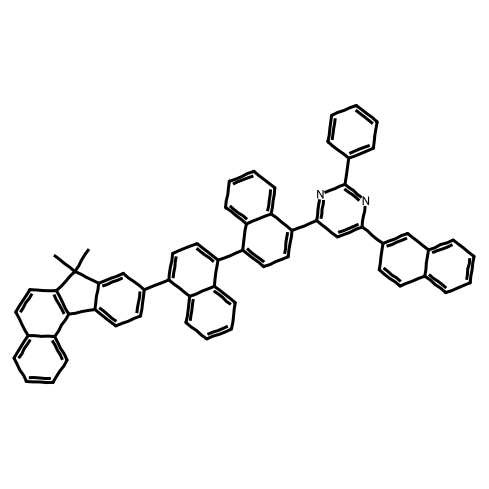 CC1(C)c2cc(-c3ccc(-c4ccc(-c5cc(-c6ccc7ccccc7c6)nc(-c6ccccc6)n5)c5ccccc45)c4ccccc34)ccc2-c2c1ccc1ccccc21